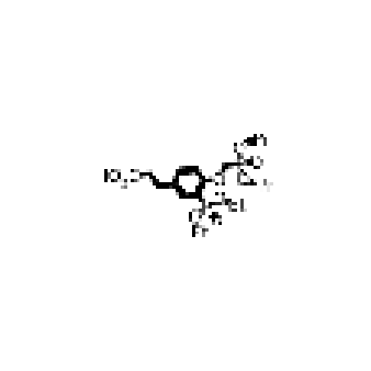 CCOP(=O)(OCC)c1cc(CCC(=O)O)ccc1OCP(=O)(OC(C)C)OC(C)C